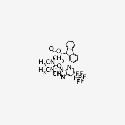 CN(C)C(On1nnc2cccnc21)=[N+](C)C.F[P-](F)(F)(F)(F)F.O=[C]OCC1c2ccccc2-c2ccccc21